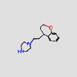 c1ccc2c(c1)OCCC2CCN1CCNCC1